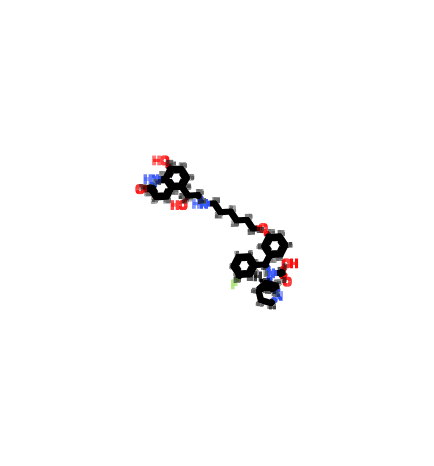 O=C(O)N(C(c1cccc(F)c1)c1cccc(OCCCCCCNC[C@H](O)c2ccc(O)c3[nH]c(=O)ccc23)c1)[C@H]1CN2CCC1CC2